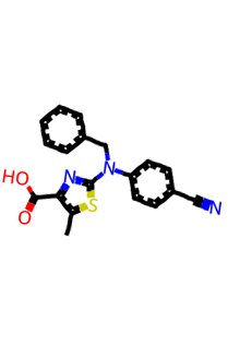 Cc1sc(N(Cc2ccccc2)c2ccc(C#N)cc2)nc1C(=O)O